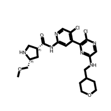 COC[C@H]1C[C@@H](C(=O)Nc2cc(-c3nc(NCC4CCOCC4)cnc3Cl)c(Cl)cn2)CN1